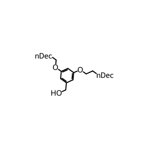 CCCCCCCCCCCCOc1cc(CO)cc(OCCCCCCCCCCC)c1